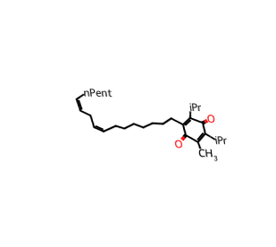 CCCCC/C=C\C/C=C\CCCCCCCC1=C(C(C)C)C(=O)C(C(C)C)=C(C)C1=O